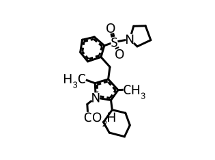 Cc1c(Cc2ccccc2S(=O)(=O)N2CCCC2)c(C)n(CC(=O)O)c1C1CCCCC1